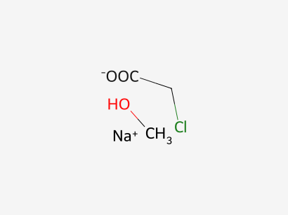 CO.O=C([O-])CCl.[Na+]